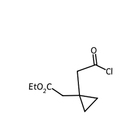 CCOC(=O)CC1(CC(=O)Cl)CC1